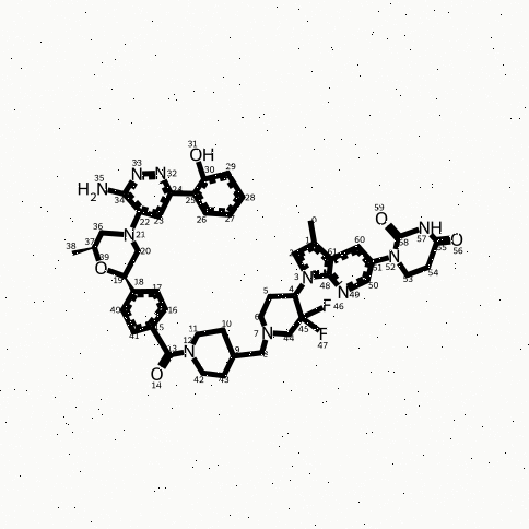 Cc1cn(C2CCN(CC3CCN(C(=O)c4ccc([C@@H]5CN(c6cc(-c7ccccc7O)nnc6N)C[C@H](C)O5)cc4)CC3)CC2(F)F)c2ncc(N3CCC(=O)NC3=O)cc12